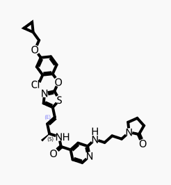 C[C@@H](/C=C/c1cnc(Oc2ccc(OCC3CC3)cc2Cl)s1)NC(=O)c1ccnc(NCCCN2CCCC2=O)c1